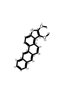 COc1sc2ccc3c4cc5ccccc5cc4ccc3c2c1OC